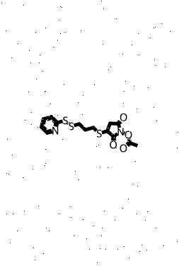 CC(=O)ON1C(=O)CC(SCCCSSc2ccccn2)C1=O